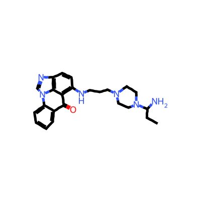 CCC(N)N1CCN(CCCNc2ccc3ncn4c5ccccc5c(=O)c2c34)CC1